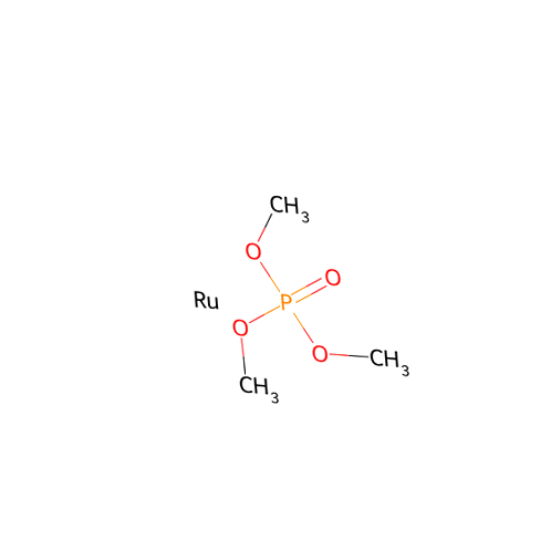 COP(=O)(OC)OC.[Ru]